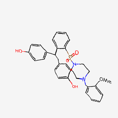 COc1ccccc1N1CCN(S(=O)(=O)c2ccccc2C(c2ccc(O)cc2)c2ccc(O)cc2)CC1